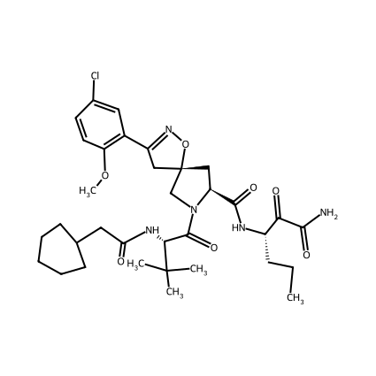 CCC[C@H](NC(=O)[C@@H]1C[C@]2(CC(c3cc(Cl)ccc3OC)=NO2)CN1C(=O)[C@@H](NC(=O)CC1CCCCC1)C(C)(C)C)C(=O)C(N)=O